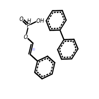 O=[PH](O)O/C=C/c1ccccc1.c1ccc(-c2ccccc2)cc1